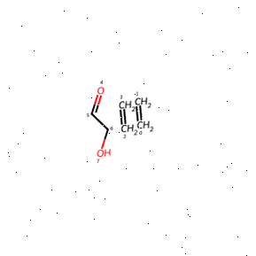 C=C.C=C.O=CCO